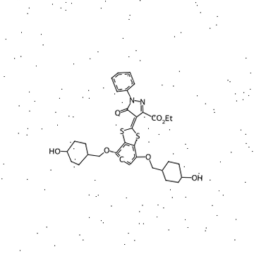 CCOC(=O)C1=NN(c2ccccc2)C(=O)C1=C1Sc2c(OCC3CCC(O)CC3)ccc(OCC3CCC(O)CC3)c2S1